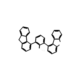 CC(C)(C)c1c(-c2cccc3c2-c2ccccc2C3)cccc1-c1cccc2sc3ccccc3c12